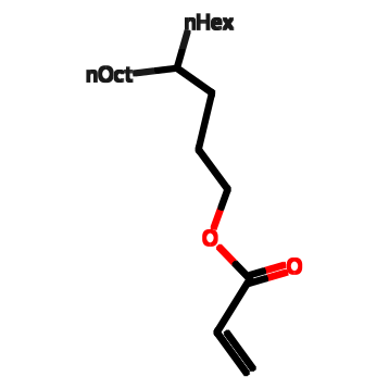 C=CC(=O)OCCCC(CCCCCC)CCCCCCCC